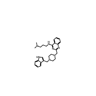 CN(C)CCCNc1nc(CN2CCN(Cc3c[nH]c4ccccc34)CC2)nc2ccccc12